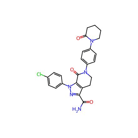 NC(=O)c1nn(-c2ccc(Cl)cc2)c2c1CCN(c1ccc(N3CCCCC3=O)cc1)C2=O